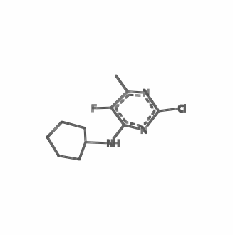 Cc1nc(Cl)nc(NC2CCCCC2)c1F